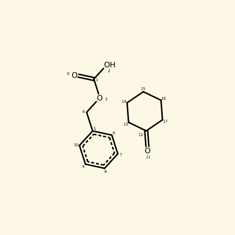 O=C(O)OCc1ccccc1.O=C1CCCCC1